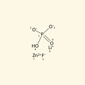 O=P([O-])([O-])O.[F-].[Li+].[Zn+2]